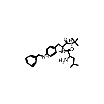 CC(C)CC(N)C(=O)NC(Cc1ccc(NCc2ccccc2)cc1)C(=O)NC(C)(C)C